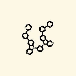 c1ccc(-c2cccc(-c3ccc4c(c3)c3cnccc3n4-c3cccc(-n4c5ccncc5c5cc(-c6cccc(-c7ccccn7)c6)ccc54)c3)c2)nc1